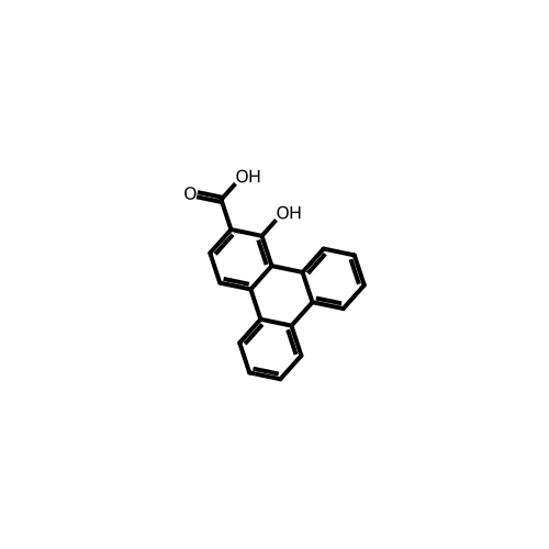 O=C(O)c1ccc2c3ccccc3c3ccccc3c2c1O